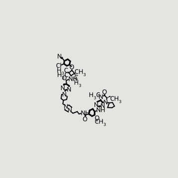 CC[C@@H]1C(=O)N(C)c2cnc(Nc3ccc(C(=O)NCCCN4CCN(CC5CCN(c6ncc(C(=O)NC7C(C)(C)C(Oc8ccc(C#N)c(Cl)c8)C7(C)C)cn6)CC5)CC4)cc3OC)nc2N1C1CCCC1